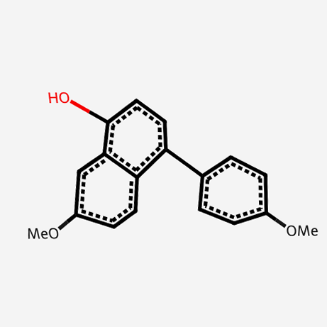 COc1ccc(-c2ccc(O)c3cc(OC)ccc23)cc1